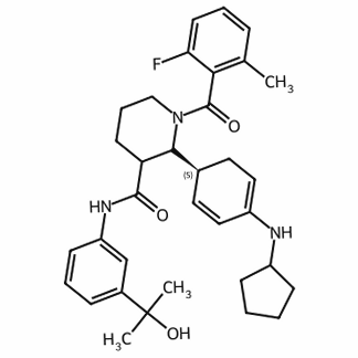 Cc1cccc(F)c1C(=O)N1CCCC(C(=O)Nc2cccc(C(C)(C)O)c2)C1[C@@H]1C=CC(NC2CCCC2)=CC1